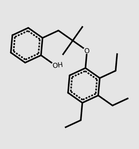 CCc1ccc(OC(C)(C)Cc2ccccc2O)c(CC)c1CC